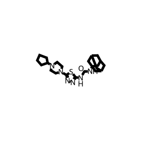 O=C(Nc1nnc(N2CCN(C3CCCC3)CC2)s1)NC12CC3CC(CC(C3)C1)C2